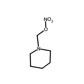 O=[N+]([O-])OCN1CCCCC1